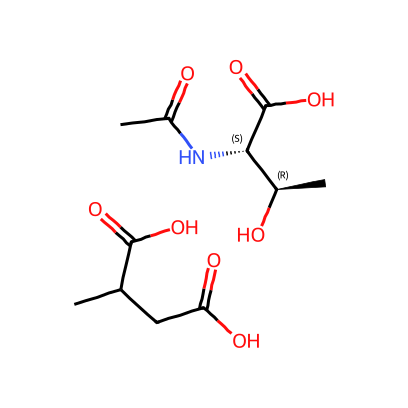 CC(=O)N[C@H](C(=O)O)[C@@H](C)O.CC(CC(=O)O)C(=O)O